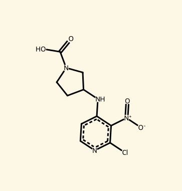 O=C(O)N1CCC(Nc2ccnc(Cl)c2[N+](=O)[O-])C1